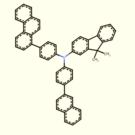 CC1(C)c2ccccc2-c2ccc(N(c3ccc(-c4ccc5ccccc5c4)cc3)c3ccc(-c4cccc5c4ccc4ccccc45)cc3)cc21